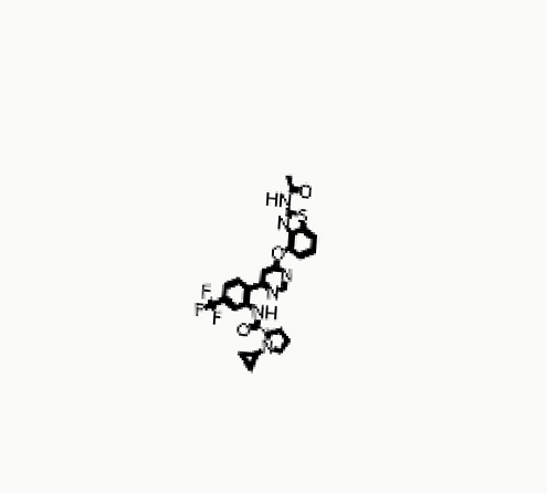 CC(=O)Nc1nc2c(Oc3cc(-c4ccc(C(F)(F)F)cc4NC(=O)[C@@H]4CCCN4C4CC4)ncn3)cccc2s1